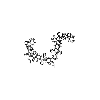 O=C1c2ccc(-c3cccc4c3C(=O)N(c3nnc(-c5ccccc5Cl)o3)C4=O)cc2C(=O)N1c1ccc2[nH]c3ccc(N4C(=O)c5ccc(-c6cccc7c6C(=O)N(c6nnc(-c8ccccc8Cl)o6)C7=O)cc5C4=O)cc3c2c1